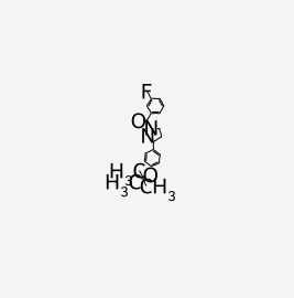 CC(C)(C)Oc1ccc(C2=NN(C(=O)c3cccc(F)c3)CC2)cc1